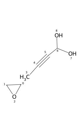 C1CO1.CC#CC(O)O